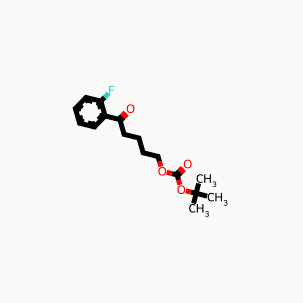 CC(C)(C)OC(=O)OCCCCC(=O)c1ccccc1F